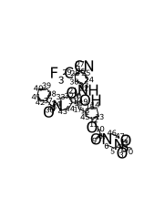 CS(=O)(=O)N1CCN(C(=O)COc2cccc(CC(O)(C(=O)Nc3ccc(C#N)c(C(F)(F)F)c3)C3CCN(C(=O)c4ccccc4)CC3)c2)CC1